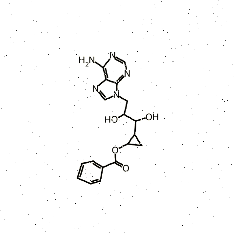 Nc1ncnc2c1ncn2CC(O)C(O)C1CC1OC(=O)c1ccccc1